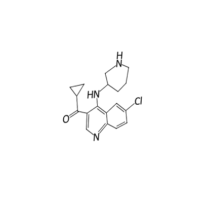 O=C(c1cnc2ccc(Cl)cc2c1NC1CCCNC1)C1CC1